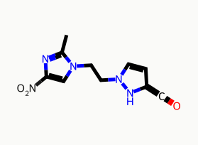 Cc1nc([N+](=O)[O-])cn1CCN1C=CC(=C=O)N1